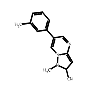 Cc1cccc(C2=CN3C(=CC(C#N)N3C)N=C2)c1